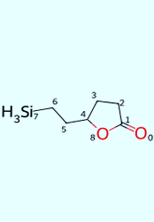 O=C1CCC(CC[SiH3])O1